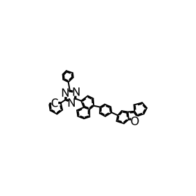 c1ccc(-c2nc(-c3ccccc3)nc(-c3ccc(-c4ccc(-c5ccc6oc7ccccc7c6c5)cc4)c4ccccc34)n2)cc1